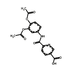 CC(=O)Oc1ccc(NC(=O)c2ccc(C(=O)O)cn2)cc1OC(C)=O